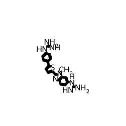 Cn1c(-c2ccc(-c3ccc(NC(=N)N)cc3)s2)nc2ccc(NC(=N)N)cc21